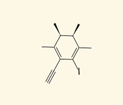 C#CC1=C(C)[C@@H](C)[C@@H](C)C(C)=C1I